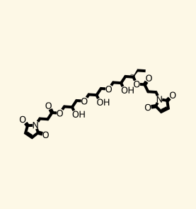 CC[C@H](CC(O)COCC(O)COCC(O)COC(=O)CCN1C(=O)C=CC1=O)OC(=O)CCN1C(=O)C=CC1=O